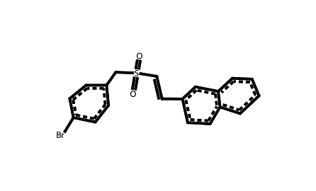 O=S(=O)(C=Cc1ccc2ccccc2c1)Cc1ccc(Br)cc1